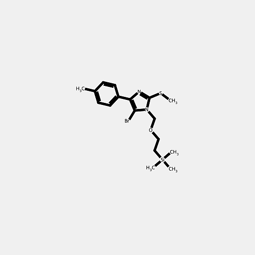 CSc1nc(-c2ccc(C)cc2)c(Br)n1COCC[Si](C)(C)C